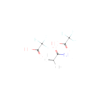 CC(C)C(N)=O.O=C(O)C(F)(F)F.O=C(O)C(F)(F)F